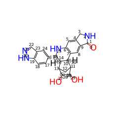 O=C1NCc2cc3c(cc21)[C@H]1C2CC([C@H]1[C@H](c1ccc4[nH]ncc4c1)N3)[C@H](O)[C@@H]2O